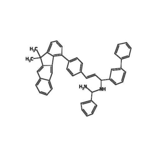 CC1(C)c2cc3ccccc3cc2-c2c(-c3ccc(/C=C/C(NC(N)c4ccccc4)c4cccc(-c5ccccc5)c4)cc3)cccc21